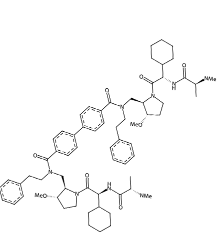 CN[C@@H](C)C(=O)N[C@H](C(=O)N1CC[C@H](OC)[C@H]1CN(CCc1ccccc1)C(=O)c1ccc(-c2ccc(C(=O)N(CCc3ccccc3)C[C@@H]3[C@@H](OC)CCN3C(=O)[C@@H](NC(=O)[C@H](C)NC)C3CCCCC3)cc2)cc1)C1CCCCC1